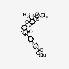 C=Cc1c(NS(=O)(=O)N2CC[C@@H](F)C2)ccc(F)c1Oc1ccc2ncn(-c3ccc(N4CCN(C(=O)OC(C)(C)C)CC4)cc3)c(=O)c2c1